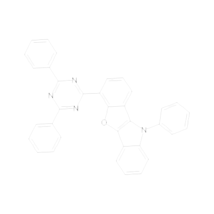 c1ccc(-c2nc(-c3ccccc3)nc(-c3cccc4c3oc3c5ccccc5n(-c5ccccc5)c43)n2)cc1